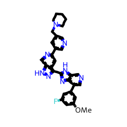 COc1cc(F)cc(-c2cncc3[nH]c(-c4n[nH]c5cnc(-c6cncc(CN7CCCCC7)c6)cc45)nc23)c1